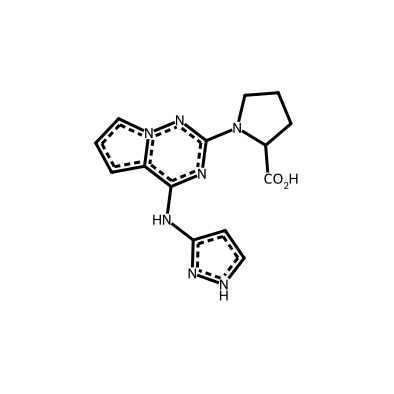 O=C(O)C1CCCN1c1nc(Nc2cc[nH]n2)c2cccn2n1